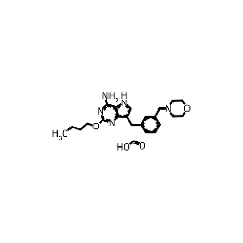 CCCCOc1nc(N)c2[nH]cc(Cc3cccc(CN4CCOCC4)c3)c2n1.O=CO